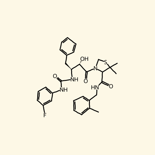 Cc1ccccc1CNC(=O)C1N(C(=O)[C@@H](O)[C@H](Cc2ccccc2)NC(=O)Nc2cccc(F)c2)CSC1(C)C